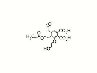 C=CC(=O)OCCc1c(CC2CO2)cc(C(=O)O)c(C(=O)O)c1OCCO